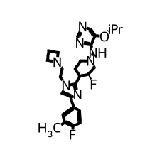 Cc1cc(-c2cn(CCN3CCC3)c(C3CCN(Nc4ncncc4OC(C)C)C[C@H]3F)n2)ccc1F